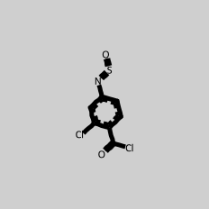 O=S=Nc1ccc(C(=O)Cl)c(Cl)c1